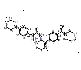 C=C(/N=C1\NCCN=C1c1ccc(C(=O)N2CCOCC2)cc1)Nc1ccc(N2CCOCC2)cc1